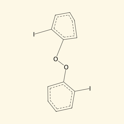 Ic1ccccc1OOc1ccccc1I